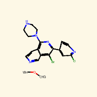 CC(C)(C)OC=O.Clc1cc(-c2nc(N3CCNCC3)c3ccncc3c2Br)ccn1